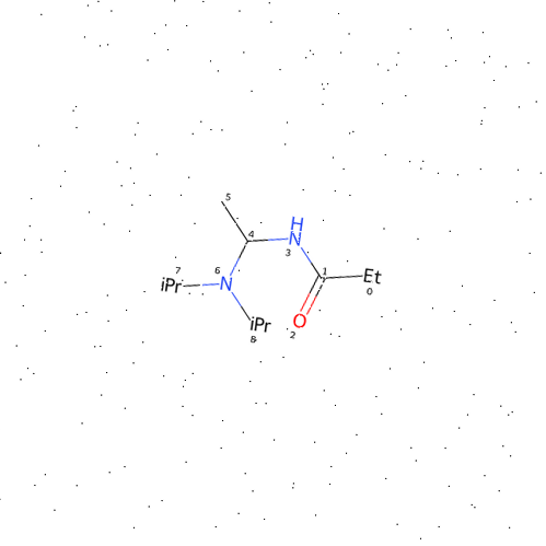 CCC(=O)NC(C)N(C(C)C)C(C)C